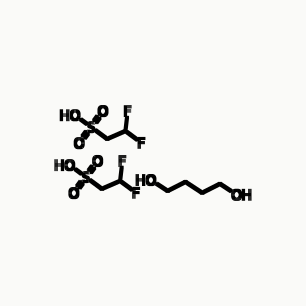 O=S(=O)(O)CC(F)F.O=S(=O)(O)CC(F)F.OCCCCO